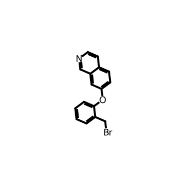 BrCc1ccccc1Oc1ccc2ccncc2c1